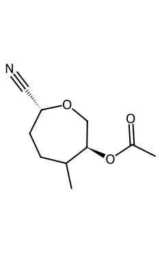 CC(=O)O[C@@H]1CO[C@@H](C#N)CCC1C